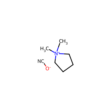 C[N+]1(C)CCCC1.N#C[O-]